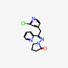 O=C1CCCN1/N=C(/Cc1ccnc(Cl)c1)c1ccccn1